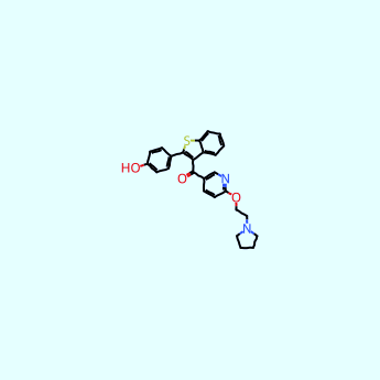 O=C(c1ccc(OCCN2CCCC2)nc1)c1c(-c2ccc(O)cc2)sc2ccccc12